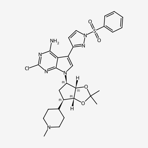 CN1CCC([C@H]2C[C@@H](n3cc(-c4ccn(S(=O)(=O)c5ccccc5)n4)c4c(N)nc(Cl)nc43)[C@@H]3OC(C)(C)O[C@@H]32)CC1